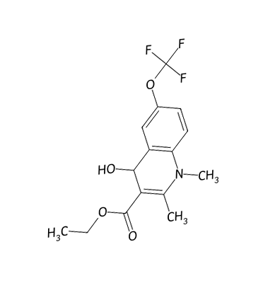 CCOC(=O)C1=C(C)N(C)c2ccc(OC(F)(F)F)cc2C1O